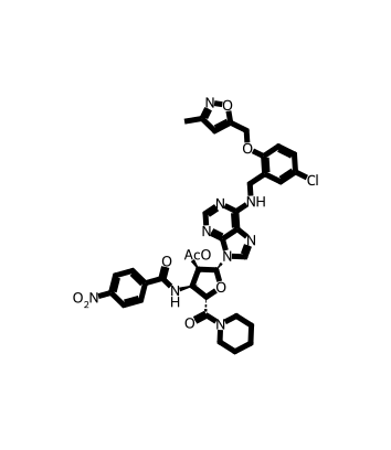 CC(=O)O[C@@H]1[C@H](NC(=O)c2ccc([N+](=O)[O-])cc2)[C@@H](C(=O)N2CCCCC2)O[C@H]1n1cnc2c(NCc3cc(Cl)ccc3OCc3cc(C)no3)ncnc21